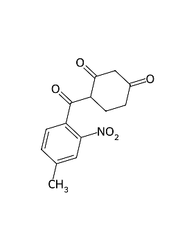 Cc1ccc(C(=O)C2CCC(=O)CC2=O)c([N+](=O)[O-])c1